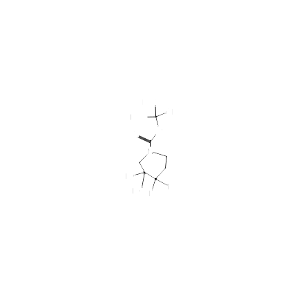 CC(C)(C)OC(=O)N1CCC(F)(F)C(C)(O)C1